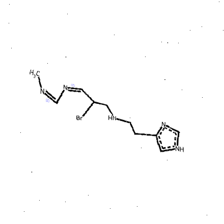 C/N=C\N=C/C(Br)CNCCc1c[nH]cn1